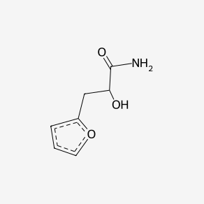 NC(=O)C(O)Cc1ccco1